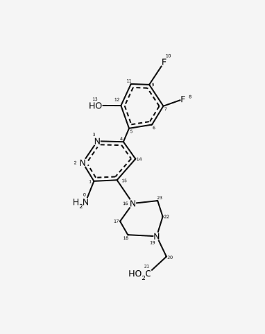 Nc1nnc(-c2cc(F)c(F)cc2O)cc1N1CCN(CC(=O)O)CC1